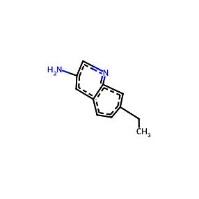 CCc1ccc2cc(N)cnc2c1